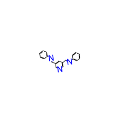 C(=N\c1ccccc1)/c1cncc(/C=N/c2ccccc2)c1